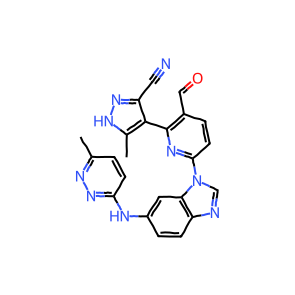 Cc1ccc(Nc2ccc3ncn(-c4ccc(C=O)c(-c5c(C#N)n[nH]c5C)n4)c3c2)nn1